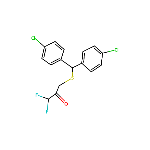 O=C(CSC(c1ccc(Cl)cc1)c1ccc(Cl)cc1)C(F)F